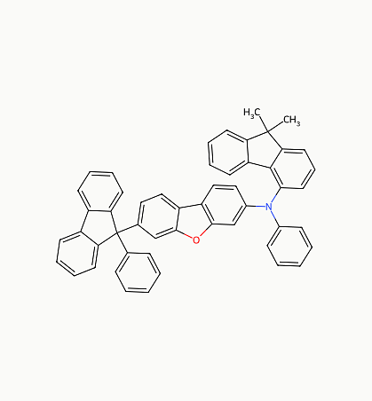 CC1(C)c2ccccc2-c2c(N(c3ccccc3)c3ccc4c(c3)oc3cc(C5(c6ccccc6)c6ccccc6-c6ccccc65)ccc34)cccc21